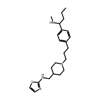 CCCC(NC)c1ccc(CCCN2CCC(CNc3nccs3)CC2)cc1